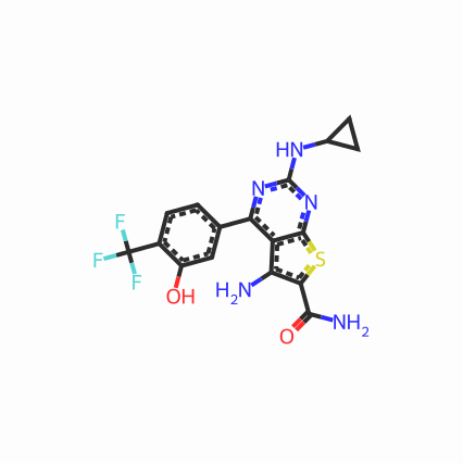 NC(=O)c1sc2nc(NC3CC3)nc(-c3ccc(C(F)(F)F)c(O)c3)c2c1N